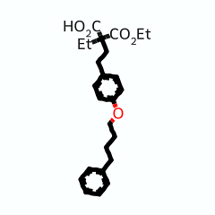 CCOC(=O)C(CC)(CCc1ccc(OCCCCc2ccccc2)cc1)C(=O)O